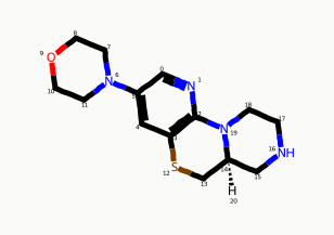 c1nc2c(cc1N1CCOCC1)SC[C@@H]1CNCCN21